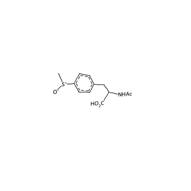 CC(=O)NC(Cc1ccc([S+](C)[O-])cc1)C(=O)O